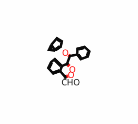 O=CC(=O)c1ccccc1C(=O)C(=O)c1ccccc1.c1cc2cc-2c1